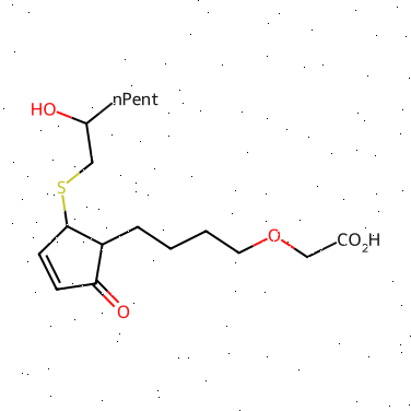 CCCCCC(O)CSC1C=CC(=O)C1CCCCOCC(=O)O